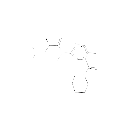 CCCCC[C@H](CN(O)C=O)C(=O)N(N)c1ncc(C(F)(F)F)c(C(=O)N2CCCCC2)n1